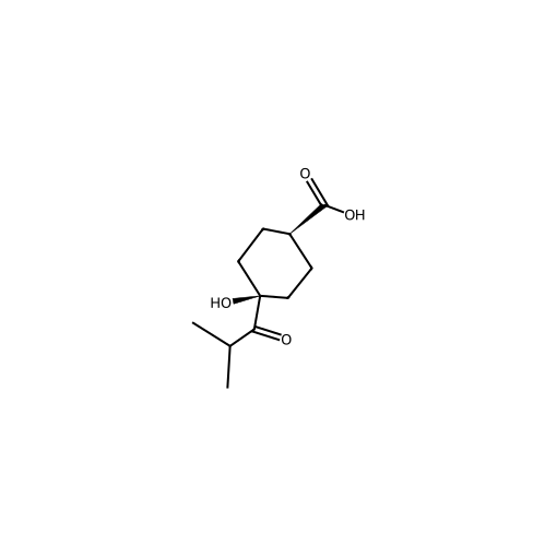 CC(C)C(=O)[C@]1(O)CC[C@@H](C(=O)O)CC1